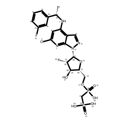 C[C@H](Nc1cc(Cl)nc2c1cnn2[C@@H]1O[C@H](COP(=O)(O)CP(=O)(O)O)[C@@H](O)[C@@H]1F)c1cccc(F)c1